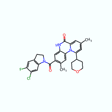 CC1=C=C(C2CCOCC2)N2C(=C1)C(=O)Nc1cc(C(=O)N3CCc4cc(F)c(Cl)cc43)c(C)cc12